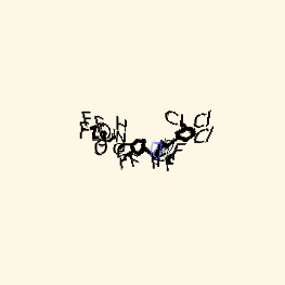 C[C@H](CS(=O)(=O)CC(F)(F)F)NC(=O)c1ccc(/C(F)=C/[C@H](c2cc(Cl)c(Cl)c(Cl)c2)C(F)(F)F)cc1C(F)(F)F